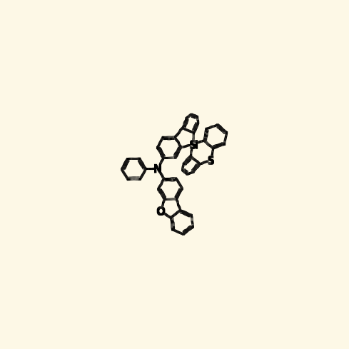 c1ccc(N(c2ccc3c(c2)[Si]2(c4ccccc4Sc4ccccc42)c2ccccc2-3)c2ccc3c(c2)oc2ccccc23)cc1